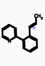 C/C=C/c1ccccc1-c1ccccn1